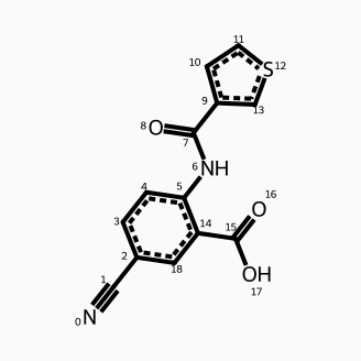 N#Cc1ccc(NC(=O)c2ccsc2)c(C(=O)O)c1